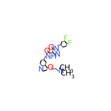 CN(C)CCCOc1ccnc2ccc(CNC(=O)c3cncn(Cc4ccc(F)c(F)c4)c3=O)cc12